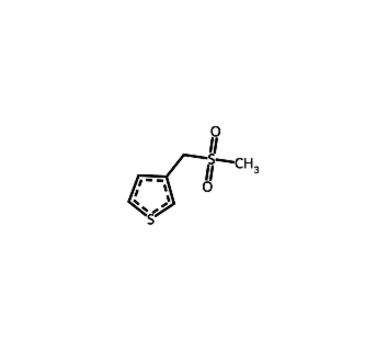 CS(=O)(=O)Cc1ccsc1